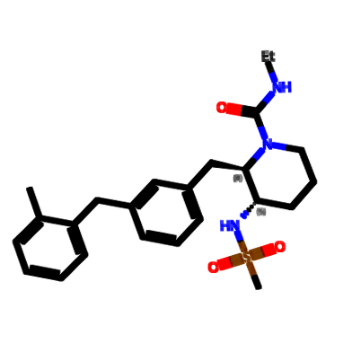 CCNC(=O)N1CCC[C@H](NS(C)(=O)=O)[C@H]1Cc1cccc(Cc2ccccc2C)c1